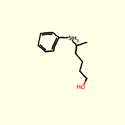 CC(CCCCO)[SiH2]c1ccccc1